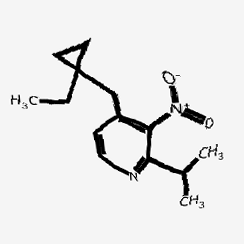 CCC1(Cc2ccnc(C(C)C)c2[N+](=O)[O-])CC1